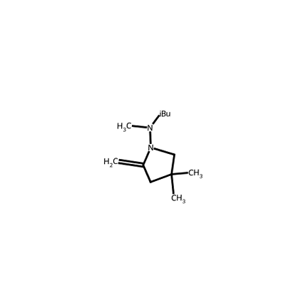 C=C1CC(C)(C)CN1N(C)C(C)CC